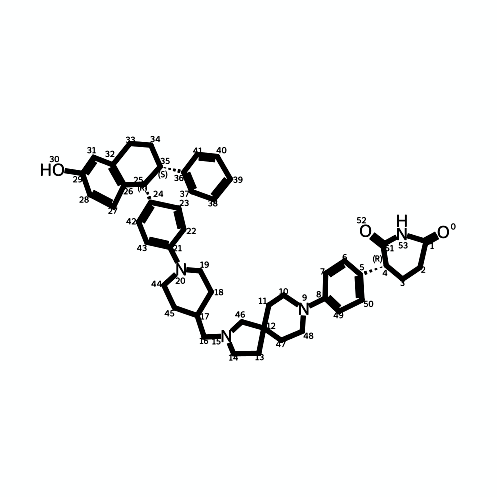 O=C1CC[C@H](c2ccc(N3CCC4(CCN(CC5CCN(c6ccc([C@@H]7c8ccc(O)cc8CC[C@@H]7c7ccccc7)cc6)CC5)C4)CC3)cc2)C(=O)N1